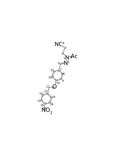 CC(=O)N(CCC#N)/N=C/c1ccc(OCc2ccc([N+](=O)[O-])cc2)cc1